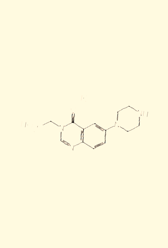 Cl.O=C(O)Cn1cnc2ccc(N3CCNCC3)cc2c1=O